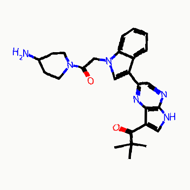 CC(C)(C)C(=O)c1c[nH]c2ncc(-c3cn(CC(=O)N4CCC(N)CC4)c4ccccc34)nc12